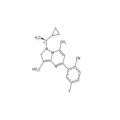 CC1=CC(c2cc(F)ccc2C#N)=NC2=C(C(=O)O)CN([C@@H](C)C3CC3)N12